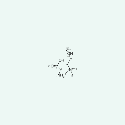 C[N+](C)(C)CCO.NCC(=O)O.[Cl-]